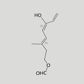 C=C/C(O)=C\C=C(/C)CCOC=O